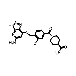 NC(=O)C1CCN(C(=O)c2ccc(COc3cc(N)nc4[nH]nnc34)c(Cl)c2)CC1